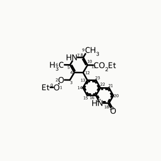 CCOOCC1=C(C)NC(C)=C(C(=O)OCC)C1c1ccc2[nH]c(=O)ccc2c1